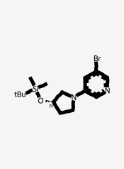 CC(C)(C)[Si](C)(C)O[C@H]1CCN(c2cncc(Br)c2)C1